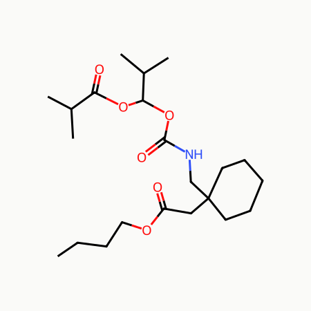 CCCCOC(=O)CC1(CNC(=O)OC(OC(=O)C(C)C)C(C)C)CCCCC1